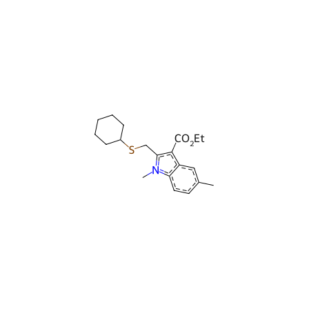 CCOC(=O)c1c(CSC2CCCCC2)n(C)c2ccc(C)cc12